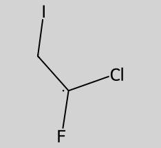 F[C](Cl)CI